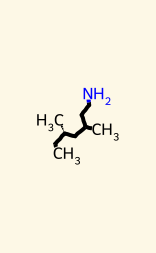 CC[C@H](C)CC(C)CCN